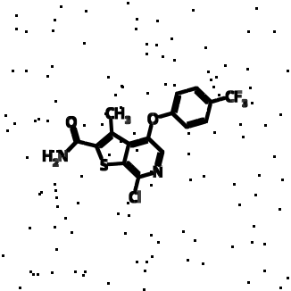 Cc1c(C(N)=O)sc2c(Cl)ncc(Oc3ccc(C(F)(F)F)cc3)c12